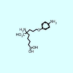 Nc1ccc(OCCCC(N)(CCCCB(O)O)C(=O)O)cc1